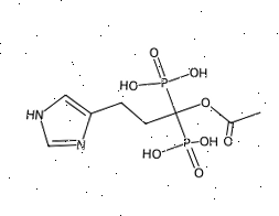 CC(=O)OC(CCc1c[nH]cn1)(P(=O)(O)O)P(=O)(O)O